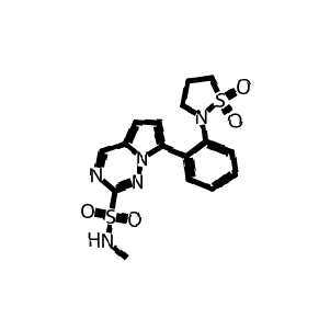 CNS(=O)(=O)c1ncc2ccc(-c3ccccc3N3CCCS3(=O)=O)n2n1